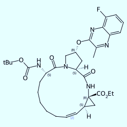 CCOC(=O)[C@@]12C[C@H]1/C=C\CCCCC[C@H](NC(=O)OC(C)(C)C)C(=O)N1C[C@H](Oc3nc4c(F)cccc4nc3C)C[C@H]1C(=O)N2